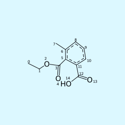 CCOC(=O)c1c(C)cccc1C(=O)O